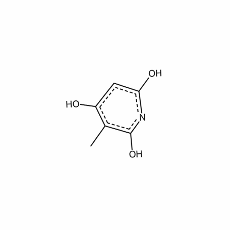 Cc1c(O)cc(O)nc1O